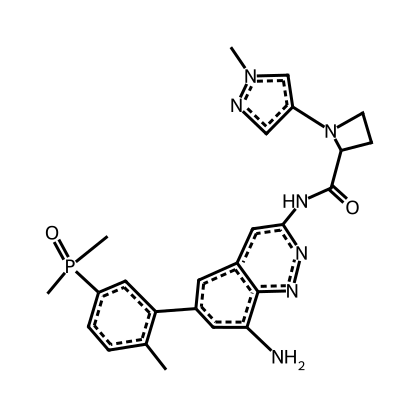 Cc1ccc(P(C)(C)=O)cc1-c1cc(N)c2nnc(NC(=O)C3CCN3c3cnn(C)c3)cc2c1